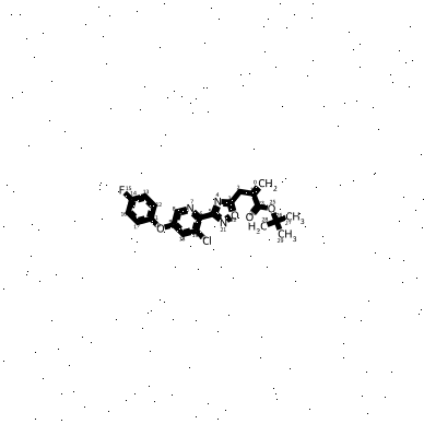 C=C(Cc1nc(-c2ncc(Oc3ccc(F)cc3)cc2Cl)no1)C(=O)OC(C)(C)C